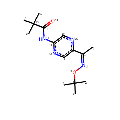 C/C(=N/OC(C)(C)C)c1cnc(NC(=O)C(C)(C)C)cn1